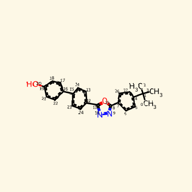 CC(C)(C)c1ccc(-c2nnc(-c3ccc(-c4ccc(O)cc4)cc3)o2)cc1